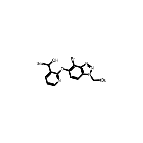 CC(C)(C)Cn1nnc2c(Br)c(Oc3ncccc3C(O)C(C)(C)C)ccc21